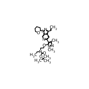 C=Cc1nn(C2CCCCO2)c2cnc(-c3c(C)nn(C)c3OCCN(CC)C(=O)OC(C)(C)C)cc12